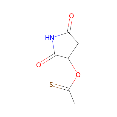 CC(=S)OC1CC(=O)NC1=O